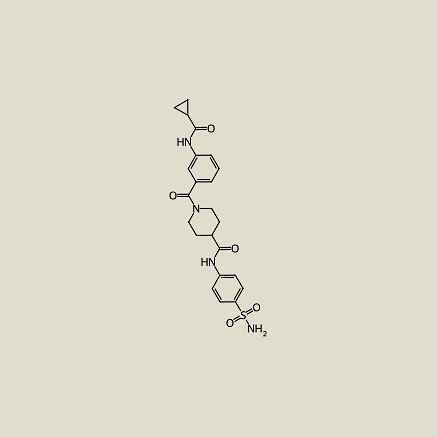 NS(=O)(=O)c1ccc(NC(=O)C2CCN(C(=O)c3cccc(NC(=O)C4CC4)c3)CC2)cc1